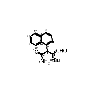 CC(C)(C)C(C=O)C(C(N)=O)c1cccc2ccccc12